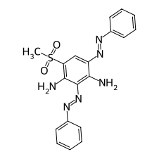 CS(=O)(=O)c1cc(/N=N/c2ccccc2)c(N)c(/N=N/c2ccccc2)c1N